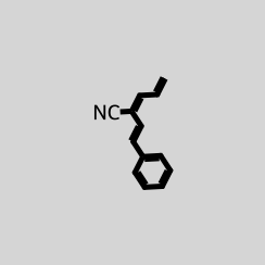 C=C/C=C(C#N)\C=C\c1ccccc1